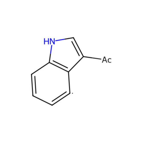 CC(=O)c1c[nH]c2ccc[c]c12